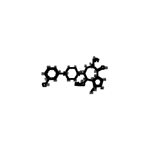 CCCN1CC(N2CCN(c3cccc(Cl)c3)CC2)C(OC)c2c(ccn2C)C1=O